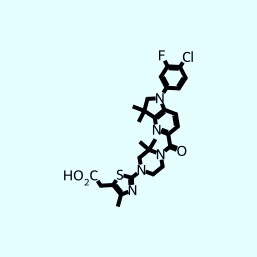 Cc1nc(N2CCN(C(=O)c3ccc4c(n3)C(C)(C)CN4c3ccc(Cl)c(F)c3)C(C)(C)C2)sc1CC(=O)O